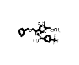 COCc1nc2c(c(COCc3ccccc3)nn2C(C)c2ccc(C(F)(F)F)cc2)c(=O)[nH]1